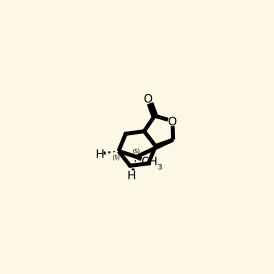 C[C@@H]1C2OC(=O)C3C[C@@H]1CCC32